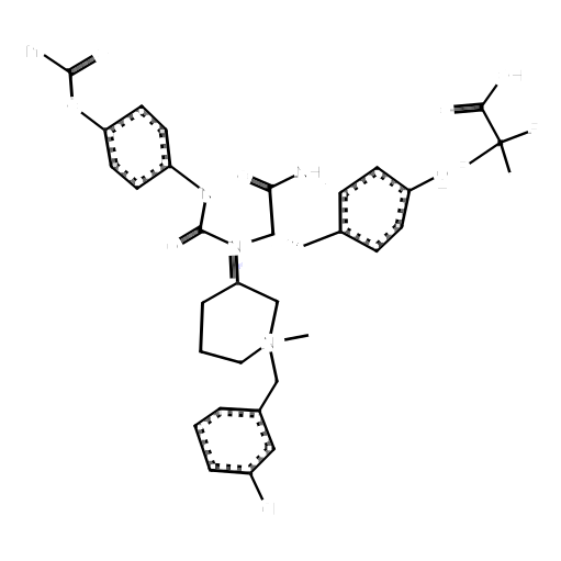 CC(C)C(=O)Oc1ccc(NC(=O)/[N+](=C2\CCC[N+](C)(Cc3cccc(Cl)c3)C2)[C@@H](Cc2ccc(O)cc2)C(N)=O)cc1.O=C(O)C(F)(F)F